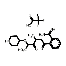 CC(CC(=O)c1ccccc1C(=N)N)C(=O)C(OC1CCNCC1)C(=O)O.O=C(O)C(F)(F)F